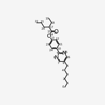 CCCCCCc1cnc(-c2ccc(OC(=O)C(CC)CCC)cc2)nc1